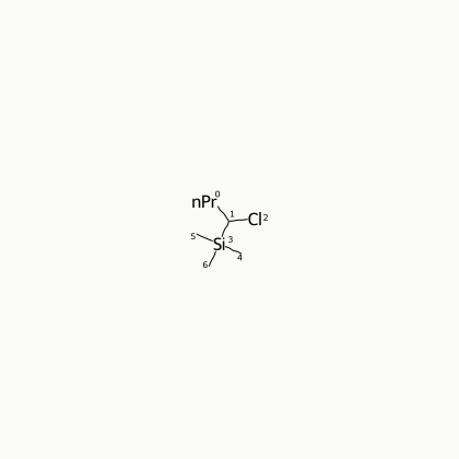 CCCC(Cl)[Si](C)(C)C